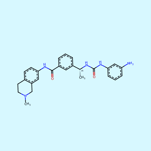 C[C@@H](NC(=O)Nc1cccc(N)c1)c1cccc(C(=O)Nc2ccc3c(c2)CN(C)CC3)c1